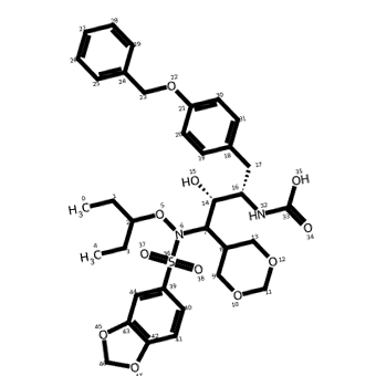 CCC(CC)ON(C(C1COCOC1)[C@H](O)[C@H](Cc1ccc(OCc2ccccc2)cc1)NC(=O)O)S(=O)(=O)c1ccc2c(c1)OCO2